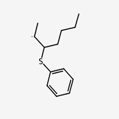 C[CH]C(CCCC)Sc1ccccc1